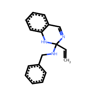 C=CC1(NCc2ccccc2)N=Cc2cc[c]cc2N1